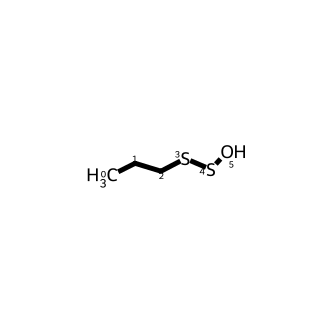 CCCSSO